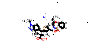 CC[C@@H]1CN(Cc2cc([C@@H](c3ccc4c(nnn4CC)c3C)C(C)(C)C(=O)O)sc2C)S(=O)(=O)c2ccccc2O1.[N]